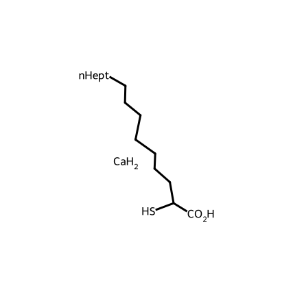 CCCCCCCCCCCCCCC(S)C(=O)O.[CaH2]